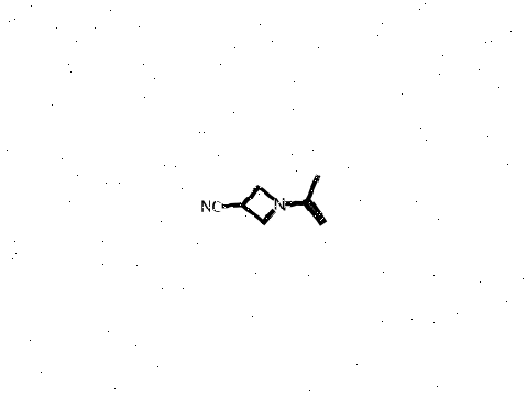 C=C(C)N1CC(C#N)C1